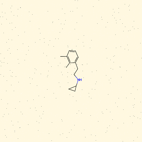 Cc1cccc(CCNC2CC2)c1C